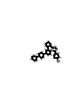 Brc1ccc(-c2nnc3c4ccccc4c4cc(-c5ccc(-c6ccccc6)cc5)ccc4n23)cc1